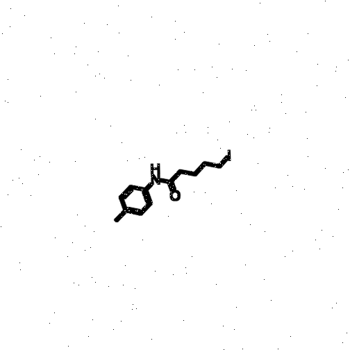 Cc1ccc(NC(=O)CCCCI)cc1